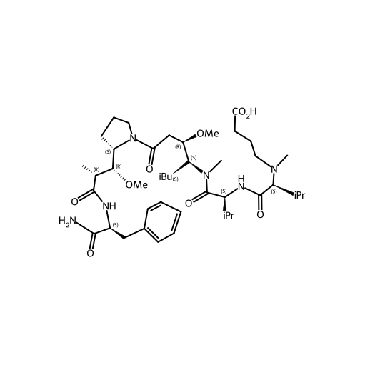 CC[C@H](C)[C@@H]([C@@H](CC(=O)N1CCC[C@H]1[C@H](OC)[C@@H](C)C(=O)N[C@@H](Cc1ccccc1)C(N)=O)OC)N(C)C(=O)[C@@H](NC(=O)[C@H](C(C)C)N(C)CCCC(=O)O)C(C)C